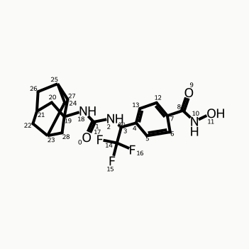 O=C(N[C@H](c1ccc(C(=O)NO)cc1)C(F)(F)F)NC12CC3CC(CC(C3)C1)C2